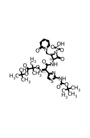 CC(C)(C)OC(=O)Nc1nc(/C(=N/OC(C)(C)C(=O)OC(C)(C)C)C(=O)N[C@@H]2C(=O)N(S(=O)(=O)O)[C@@H]2Cn2ccccc2=O)cs1